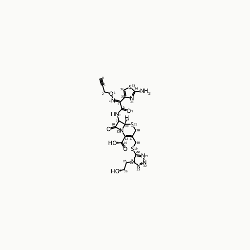 C#CCON=C(C(=O)NC1C(=O)N2C(C(=O)O)=C(CSc3nnnn3CCO)CS[C@@H]12)c1csc(N)n1